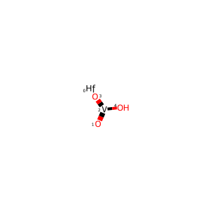 [Hf].[O]=[V](=[O])[OH]